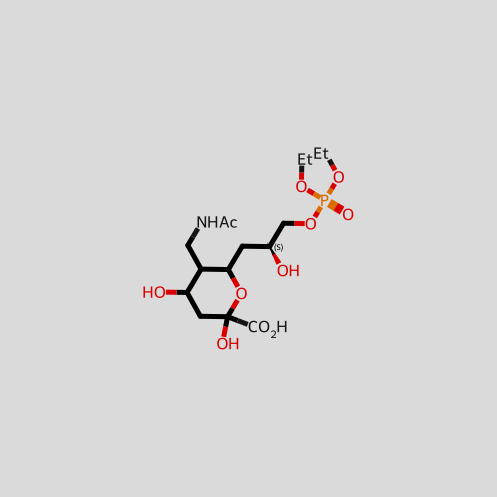 CCOP(=O)(OCC)OC[C@@H](O)CC1OC(O)(C(=O)O)CC(O)C1CNC(C)=O